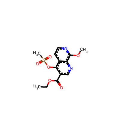 CCOC(=O)c1cnc2c(OC)nccc2c1OS(C)(=O)=O